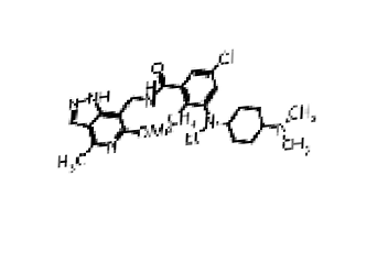 CCN(c1cc(Cl)cc(C(=O)NCc2c(OC)nc(C)c3cn[nH]c23)c1C)[C@H]1CC[C@H](N(C)C)CC1